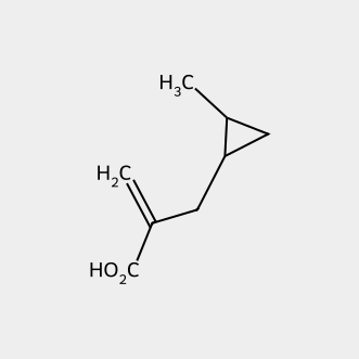 C=C(CC1CC1C)C(=O)O